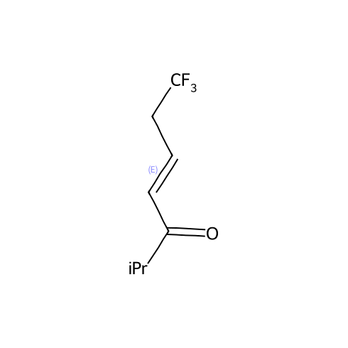 CC(C)C(=O)/C=C/CC(F)(F)F